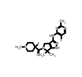 Cc1ncc(F)c(Nc2n[nH]c3c2CN(C(=O)C2(F)CCN(C)CC2)C3(C)C)n1